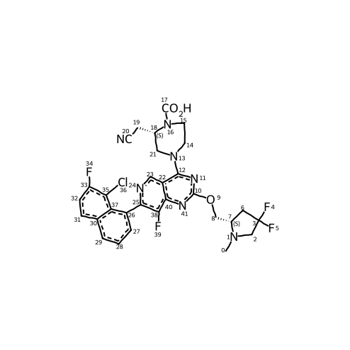 CN1CC(F)(F)C[C@H]1COc1nc(N2CCN(C(=O)O)[C@@H](CC#N)C2)c2cnc(-c3cccc4ccc(F)c(Cl)c34)c(F)c2n1